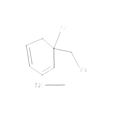 CC#N.CC(=O)C1(CC(C)C)C=CC=CC1